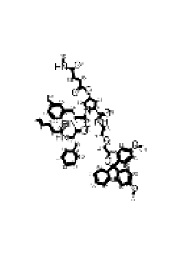 C=CCCC(=O)N[C@@H](Cc1ccccc1)C(=O)N[C@@H](Cc1cccc(I)c1)C(=O)N1C[C@H](OC(=O)CCC(=O)NC)C[C@H]1C(=O)NCCOCCOC(c1ccccc1)(c1ccc(OC)cc1)c1ccc(OC)cc1